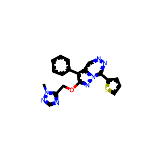 Cn1ncnc1COc1nn2c(-c3cccs3)nncc2c1-c1ccccc1